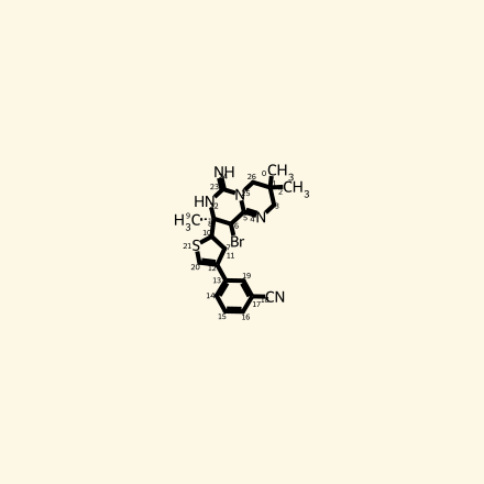 CC1(C)CN=C2C(Br)[C@@](C)(C3CC(c4cccc(C#N)c4)=CS3)NC(=N)N2C1